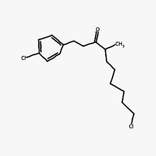 CC(CCCCCCCl)C(=O)CCc1ccc(Cl)cc1